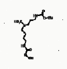 CC(C)(C)OC(=O)NCCCCN(CCCNC(=O)OC(C)(C)C)C(=O)O